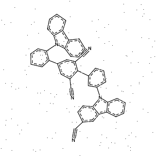 N#Cc1ccc2c(c1)c1ccccc1n2-c1cccc(-c2c(C#N)cc(-c3ccccc3-n3c4ccccc4c4ccccc43)cc2C#N)c1